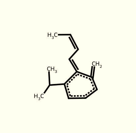 C=c1cccc(C(C)C)/c1=C/C=C\C